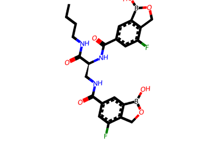 CCCCNC(=O)[C@H](CNC(=O)c1cc(F)c2c(c1)B(O)OC2)NC(=O)c1cc(F)c2c(c1)B(O)OC2